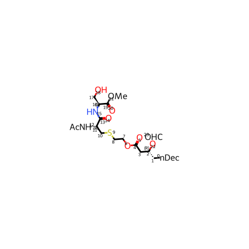 CCCCCCCCCCC[C@H](CC(=O)OCCSC[C@H](NC(C)=O)C(=O)N[C@@H](CO)C(=O)OC)OC=O